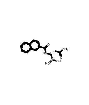 NC(=O)C[C@@H](NC(=O)c1ccc2ccccc2c1)B(O)O